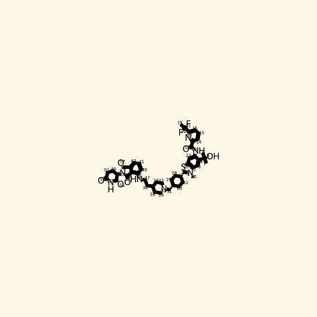 CN1c2cc(C(C)(C)O)c(NC(=O)c3cccc(C(C)(F)F)n3)cc2SC1[C@H]1CC[C@H](CN2CCC(CCNc3cccc4c3C(=O)N(C3CCC(=O)NC3=O)C4=O)CC2)CC1